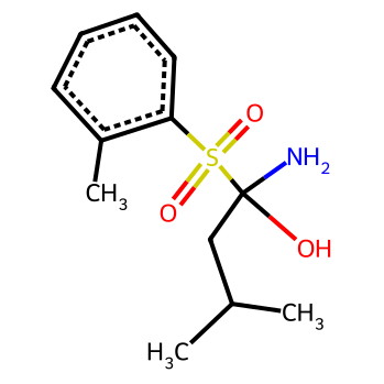 Cc1ccccc1S(=O)(=O)C(N)(O)CC(C)C